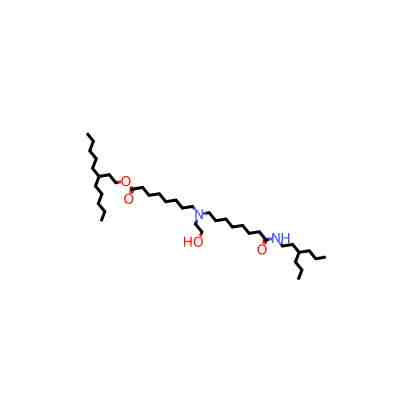 CCCCCC(CCCCC)CCOC(=O)CCCCCCCN(CCO)CCCCCCCC(=O)NCCC(CCC)CCC